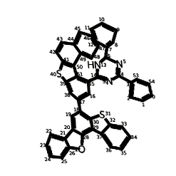 c1ccc(C2=NC(c3ccccc3)NC(c3cc(-c4cc5c6ccccc6oc5c5c4sc4ccccc45)cc4sc5ccc6ccccc6c5c34)=N2)cc1